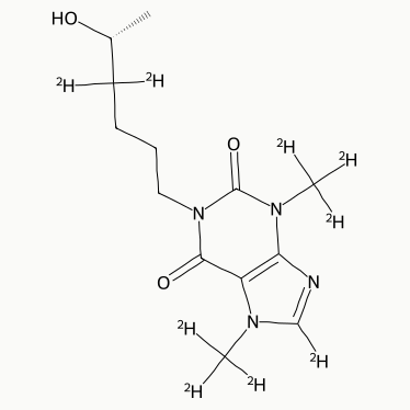 [2H]c1nc2c(c(=O)n(CCCC([2H])([2H])[C@@H](C)O)c(=O)n2C([2H])([2H])[2H])n1C([2H])([2H])[2H]